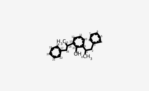 CC(Cc1ccccc1)c1cccc(C(C)Cc2ccccc2)c1O